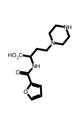 O=C(NC(CCN1CCNCC1)C(=O)O)c1ccco1